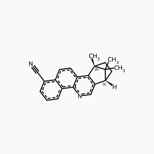 CC1(C)[C@@H]2CC[C@@]1(C)c1c2cnc2c1ccc1c(C#N)cccc12